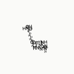 CCCC(C)Nc1nc(Nc2ccc(OCCCCCCC(=O)NO)cc2)nc2c1ncn2C